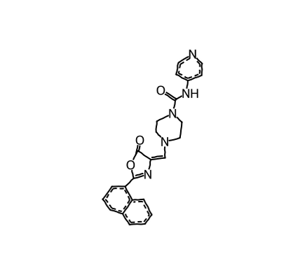 O=C1OC(c2cccc3ccccc23)=N/C1=C/N1CCN(C(=O)Nc2ccncc2)CC1